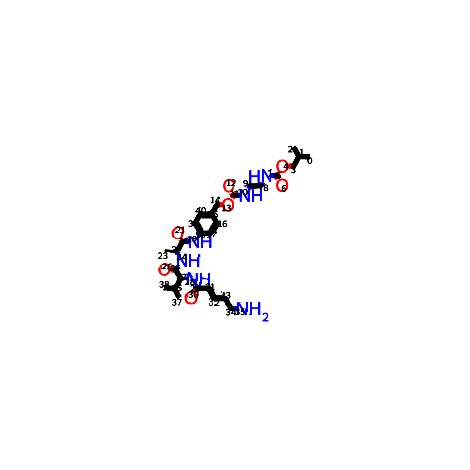 CC(C)COC(=O)NCCNC(=O)OCc1ccc(NC(=O)[C@H](C)NC(=O)[C@@H](NC(=O)CCCCN)C(C)C)cc1